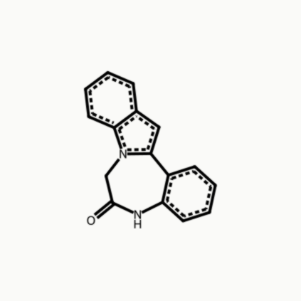 O=C1Cn2c(cc3ccccc32)-c2ccccc2N1